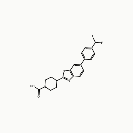 O=C(O)N1CCC(c2nc3ccc(-c4ccc(C(F)F)cc4)cc3o2)CC1